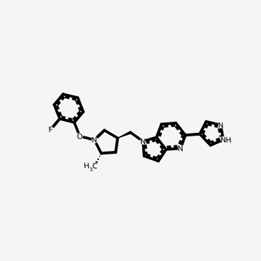 C[C@H]1C[C@H](Cn2ccc3nc(-c4cn[nH]c4)ccc32)CN1Oc1ccccc1F